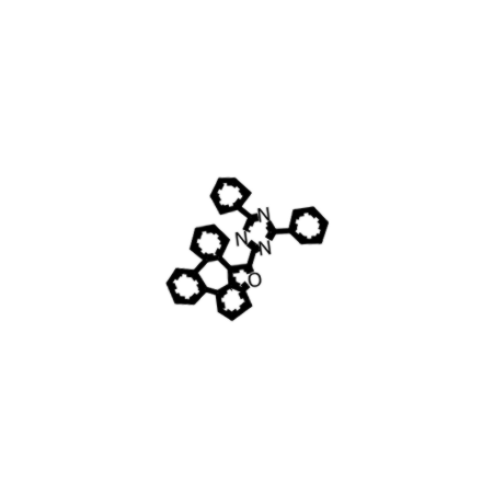 c1ccc(-c2nc(-c3ccccc3)nc(-c3oc4cccc5c4c3-c3ccccc3-c3ccccc3-5)n2)cc1